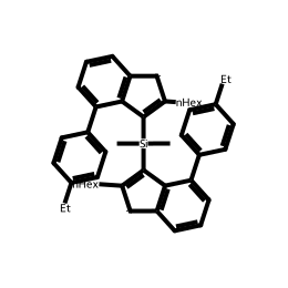 CCCCCCC1=C([Si](C)(C)C2=C(CCCCCC)[CH]c3cccc(-c4ccc(CC)cc4)c32)c2c(cccc2-c2ccc(CC)cc2)[CH]1